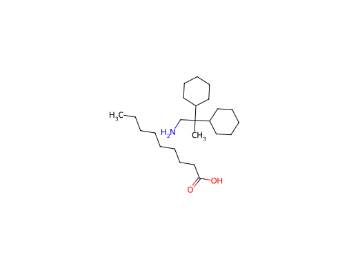 CC(CN)(C1CCCCC1)C1CCCCC1.CCCCCCCCC(=O)O